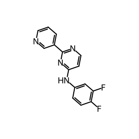 Fc1ccc(Nc2ccnc(-c3cccnc3)n2)cc1F